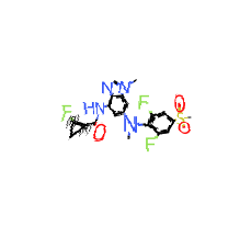 CN(c1cc(NC(=O)[C@H]2C[C@H]2F)c2ncn(C)c2c1)c1c(F)cc(S(C)(=O)=O)cc1F